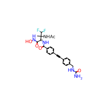 CC(=O)NC(C)(C(F)F)[C@H](NC(=O)c1ccc(C#Cc2ccc(CNC(N)=O)cc2)cc1)C(=O)NO